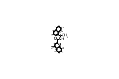 CC(NC(=O)c1cc(=O)c2ccccc2o1)c1cccc2ccccc12